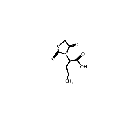 CCCC(C(=O)O)N1C(=O)CSC1=S